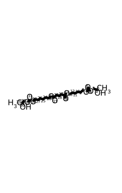 CC(O)COC(=O)OCCCCCCOC(=O)CCCC(=O)OCCCCCCOC(=O)OCC(C)O